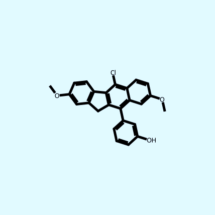 COc1ccc2c(c1)Cc1c-2c(Cl)c2ccc(OC)cc2c1-c1cccc(O)c1